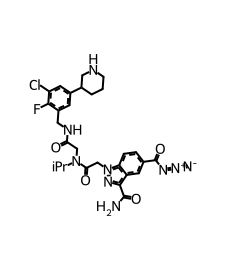 CC(C)N(CC(=O)NCc1cc(C2CCCNC2)cc(Cl)c1F)C(=O)Cn1nc(C(N)=O)c2cc(C(=O)N=[N+]=[N-])ccc21